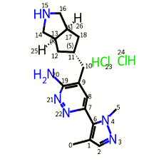 Cc1cnn(C)c1-c1cc(C[C@@H]2C[C@H]3CNC[C@H]3C2)c(N)nn1.Cl.Cl